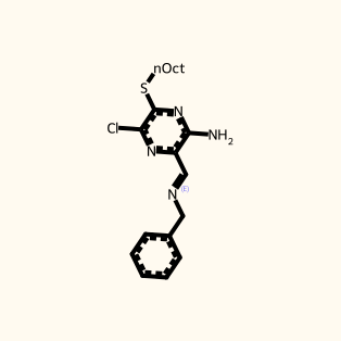 CCCCCCCCSc1nc(N)c(/C=N/Cc2ccccc2)nc1Cl